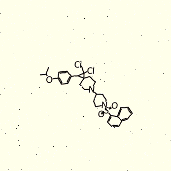 CC(C)Oc1ccc(C2C(Cl)(Cl)C23CCN(C2CCN(S(=O)(=O)c4cccc5ccccc45)CC2)CC3)cc1